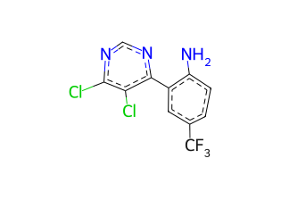 Nc1ccc(C(F)(F)F)cc1-c1ncnc(Cl)c1Cl